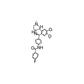 COc1cc2c(cc1OC)[C@H]1CN(C)CC[C@H]1N=C2c1ccc(NC(=O)c2ccc(F)cc2)cc1